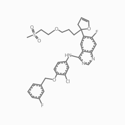 CS(=O)(=O)CCOCCCC1(c2cc3c(Nc4ccc(OCc5cccc(F)c5)c(Cl)c4)ncnc3cc2F)CC=CO1